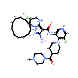 CCN1CCN(C(=O)C2CCN(c3c(F)cncc3NC(=O)c3c(N)nn4c3NCC(F)C43CCCCCCCCCC3)CC2)CC1